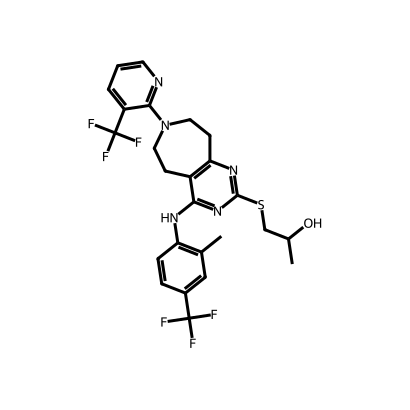 Cc1cc(C(F)(F)F)ccc1Nc1nc(SCC(C)O)nc2c1CCN(c1ncccc1C(F)(F)F)CC2